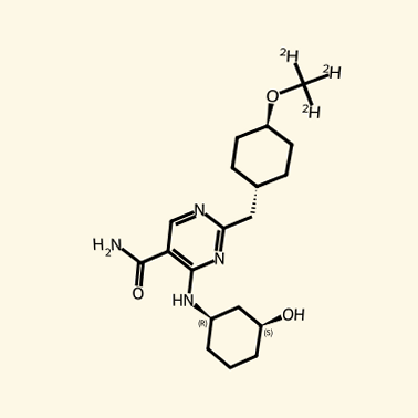 [2H]C([2H])([2H])O[C@H]1CC[C@H](Cc2ncc(C(N)=O)c(N[C@@H]3CCC[C@H](O)C3)n2)CC1